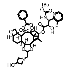 CC(=O)O[C@@]12CO[C@@H]1CC[C@@]1(C)[C@@H]3O[C@H](CN4CC(O)C4)O[C@@H]3C3=C(C)[C@@H](OC(=O)[C@H](O)[C@@H](NC(=O)OC(C)(C)C)c4ncccc4F)C[C@@](O)([C@@H](OC(=O)c4ccccc4)[C@@H]12)C3(C)C